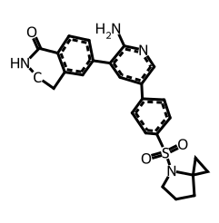 Nc1ncc(-c2ccc(S(=O)(=O)N3CCCC34CC4)cc2)cc1-c1ccc2c(c1)CCNC2=O